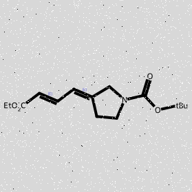 CCOC(=O)/C=C/C=C1\CCN(C(=O)OC(C)(C)C)C1